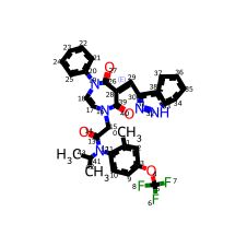 Cc1cc(OC(F)(F)F)ccc1N(C(=O)CN1C=CN(c2ccccc2)C(=O)/C(=C/c2n[nH]c3ccccc23)C1=O)C(C)C